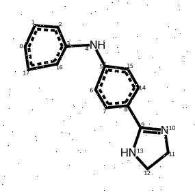 c1ccc(Nc2ccc(C3=NCCN3)cc2)cc1